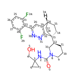 O=C(NC1(CO)CC1)N1CCC[C@H]([C@]23CC[C@H](CC2)c2cc(-c4c(F)cccc4F)nnc23)C1